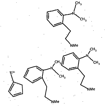 C[N-]CCc1ccccc1N(C)C.C[N-]CCc1ccccc1N(C)C.C[N-]CCc1ccccc1N(C)C.[Ti+3][C]1=CC=CC1